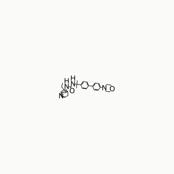 CCC1(NC(=O)NC(C)(C)c2ccc(-c3ccc(N4CCOCC4)cc3)cc2)CN2CCC1CC2